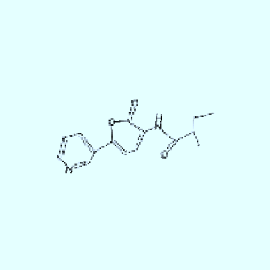 CCC(C)C(=O)Nc1ccc(-c2cccnc2)oc1=O